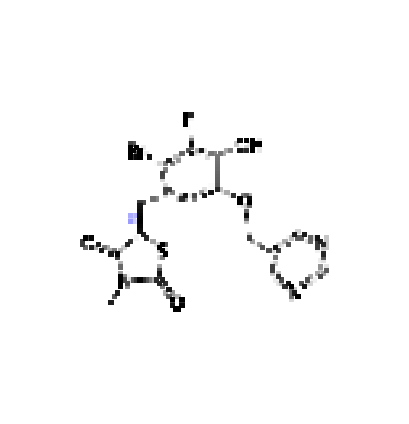 CN1C(=O)S/C(=C\c2cc(OCc3cncnc3)c(O)c(F)c2Br)C1=O